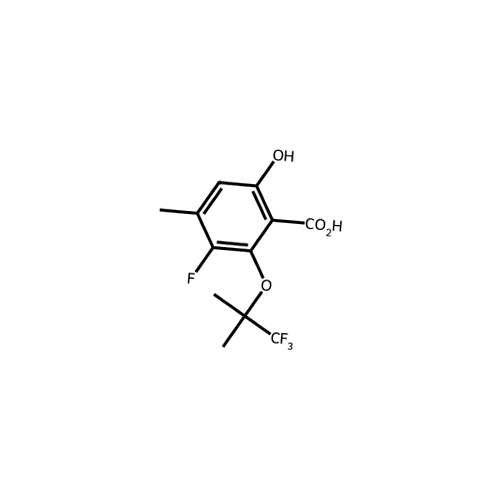 Cc1cc(O)c(C(=O)O)c(OC(C)(C)C(F)(F)F)c1F